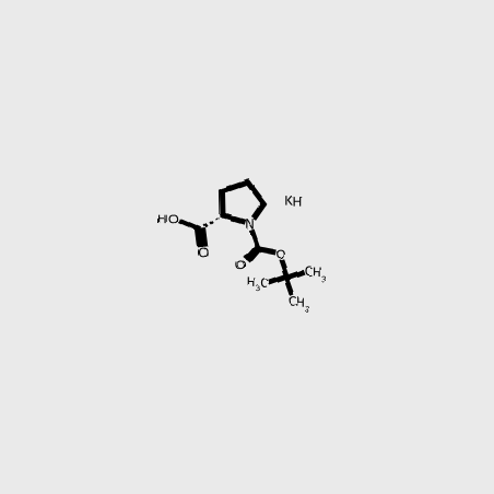 CC(C)(C)OC(=O)N1CCC[C@H]1C(=O)O.[KH]